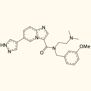 COc1cccc(CN(CCN(C)C)C(=O)c2cnc3ccc(-c4cn[nH]c4)cn23)c1